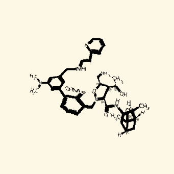 COc1c(CN2O[C@@H](CN)[C@@H]([C@H](C)O)[C@H]2C(=O)NC2C[C@H]3C[C@@H]([C@@H]2C)C3(C)C)cccc1-c1cc(CNCCc2ccccn2)cc(N(C)C)c1